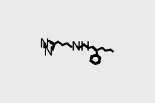 CCCC/C(=C/CCCNCCCCc1cncnc1)c1ccccc1